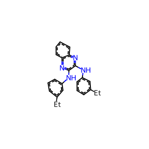 CCc1cccc(Nc2nc3ccccc3nc2Nc2cccc(CC)c2)c1